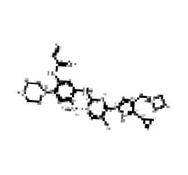 C=CC(=O)Nc1cc(Nc2ncc(C)c(-n3cc(CN4CCC4)c(C4CC4)n3)n2)c(OC)cc1N1CCOCC1